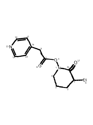 CCC1CCCN(OC(=O)Cc2ccncc2)C1=O